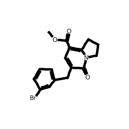 COC(=O)c1cc(Cc2cccc(Br)c2)c(=O)n2c1CCC2